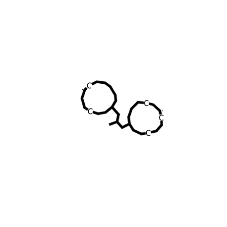 CC(CC1CCCCC[CH]CCCCCC1)CC1CCCCC[CH]CCCCCC1